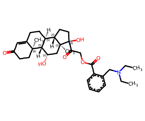 CCN(CC)Cc1ccccc1C(=O)OCC(=O)[C@@]1(O)CC[C@H]2[C@@H]3CCC4=CC(=O)CC[C@]4(C)[C@H]3[C@@H](O)C[C@@]21C